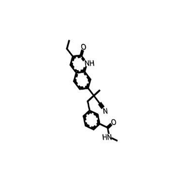 CCc1cc2ccc(C(C)(C#N)Cc3cccc(C(=O)NC)c3)cc2[nH]c1=O